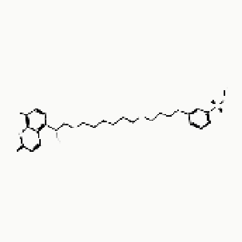 CC(=O)ONS(=O)(=O)c1cccc(CCCCOCCCCCCNC[C@@H](O)c2ccc(O)c3[nH]c(=O)ccc23)c1